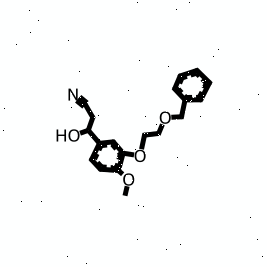 COc1ccc(C(O)CC#N)cc1OCCOCc1ccccc1